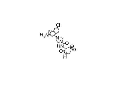 Nc1cc(N2CCN(C(=O)NC3CS(=O)(=O)CCNC3=O)CC2)c2ccc(Cl)cc2n1